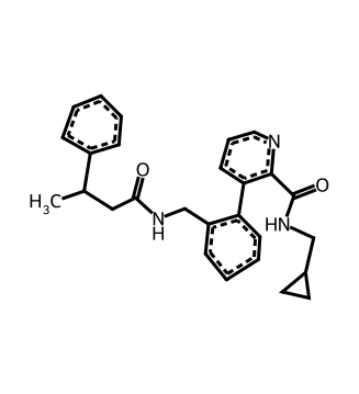 CC(CC(=O)NCc1ccccc1-c1cccnc1C(=O)NCC1CC1)c1ccccc1